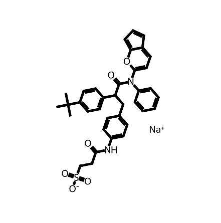 CC(C)(C)c1ccc(C(Cc2ccc(NC(=O)CCS(=O)(=O)[O-])cc2)C(=O)N(c2ccccc2)c2ccc3cccc-3o2)cc1.[Na+]